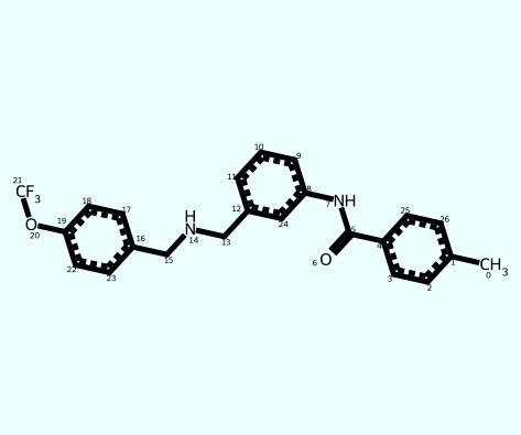 Cc1ccc(C(=O)Nc2cccc(CNCc3ccc(OC(F)(F)F)cc3)c2)cc1